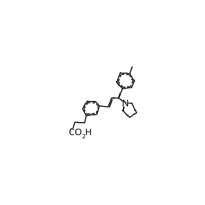 Cc1ccc(C(/C=C/c2cccc(CCC(=O)O)c2)N2CCCC2)cc1